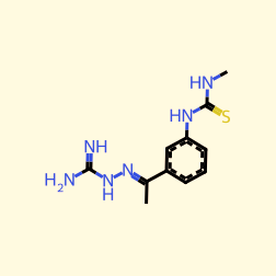 CNC(=S)Nc1cccc(/C(C)=N/NC(=N)N)c1